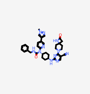 Cn1cc(-c2ccc(N(C(=O)NCc3ccccc3)[C@H]3CC[C@H](Nc4ncc(C#N)c(N5CCC6(CC5)CC(=O)N6)n4)CC3)nc2)cn1